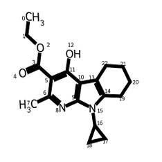 CCOC(=O)c1c(C)nc2c(c1O)c1c(n2C2CC2)CCCC1